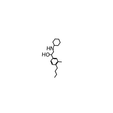 CCCCc1ccc(C(O)CNC2CCCCC2)cc1C